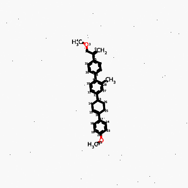 C=C(COC)c1ccc(-c2ccc(C3CC=C(c4ccc(OC)cc4)CC3)cc2C)cc1